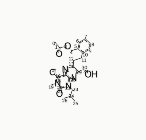 CC(=O)OCc1ccccc1CCc1nc2c(=O)n(C)c(=O)n(CC(C)C)c2nc1CO